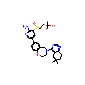 CC(C)(O)CC[S+]([O-])c1cc(-c2ccc3c(c2)CN(c2ncnc4c2CC(C)(C)CC4)CCO3)cnc1N